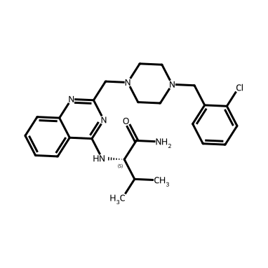 CC(C)[C@H](Nc1nc(CN2CCN(Cc3ccccc3Cl)CC2)nc2ccccc12)C(N)=O